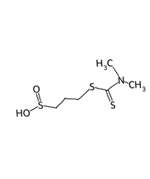 CN(C)C(=S)SCCCS(=O)O